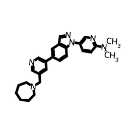 CN(C)c1ccc(-n2ncc3cc(-c4cncc(CN5CCCCCC5)c4)ccc32)cn1